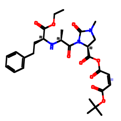 CCOC(=O)[C@H](CCc1ccccc1)N[C@@H](C)C(=O)N1C(=O)N(C)C[C@H]1C(=O)OC(=O)/C=C\C(=O)OC(C)(C)C